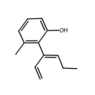 C=C/C(=C\CC)c1c(C)cccc1O